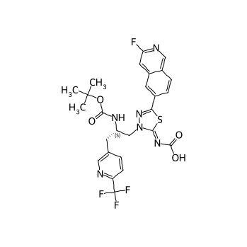 CC(C)(C)OC(=O)N[C@@H](Cc1ccc(C(F)(F)F)nc1)Cn1nc(-c2ccc3cnc(F)cc3c2)sc1=NC(=O)O